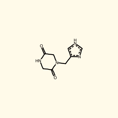 O=C1CN(Cc2c[nH]cn2)C(=O)CN1